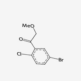 COCC(=O)c1cc(Br)ccc1Cl